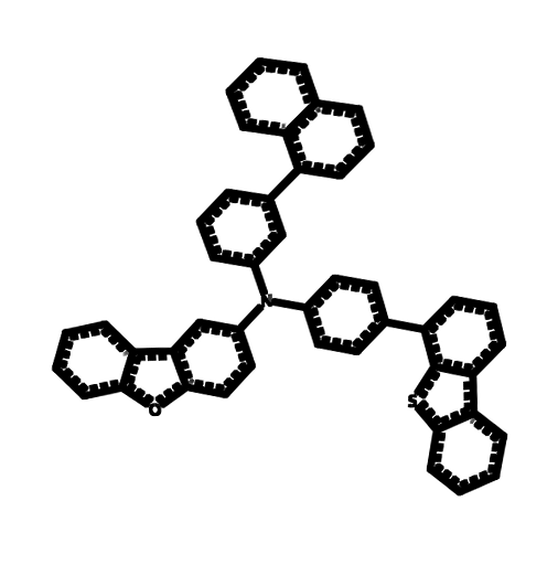 c1cc(-c2cccc3ccccc23)cc(N(c2ccc(-c3cccc4c3sc3ccccc34)cc2)c2ccc3oc4ccccc4c3c2)c1